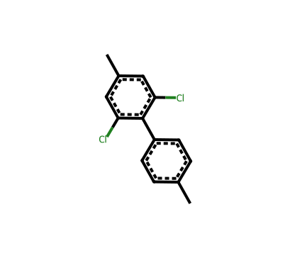 Cc1ccc(-c2c(Cl)cc(C)cc2Cl)cc1